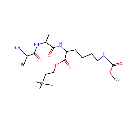 CC(NC(=O)C(N)C(C)C)C(=O)NC(CCCCNC(=O)OC(C)(C)C)C(=O)OCC[Si](C)(C)C